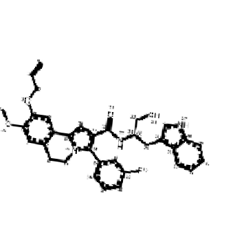 C=CCOc1cc2c(cc1OC)CCn1c-2cc(C(=O)N[C@@H](CO)Cc2c[nH]c3ccccc23)c1-c1cccc(F)c1